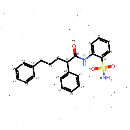 NS(=O)(=O)c1ccccc1NC(=O)C(CCCc1ccccc1)c1ccccc1